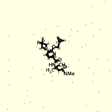 CNC(=O)CC(C)(C)NC(=O)c1ccc(N2CC(F)(F)C2)c(OCC2CC2)n1